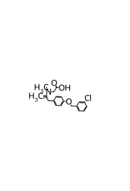 C[C@H](Cc1ccc(OCc2cccc(Cl)c2)cc1)N(C)CC(=O)O